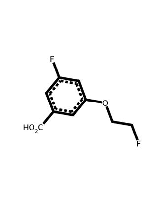 O=C(O)c1cc(F)cc(OCCF)c1